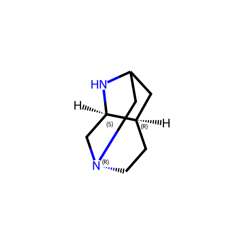 C1C[N@@]2CC3C[C@@H]1[C@@H](C2)N3